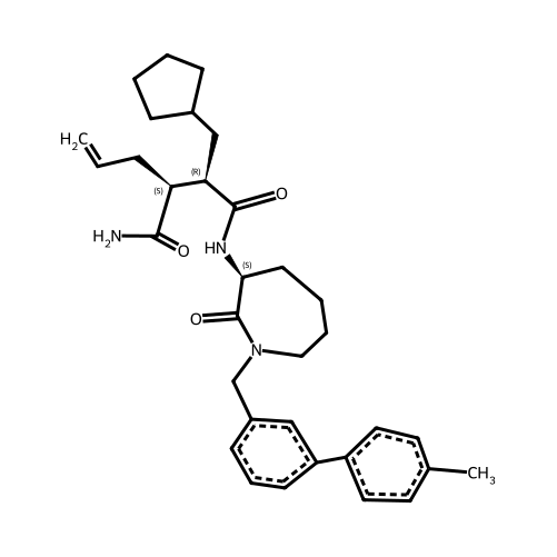 C=CC[C@H](C(N)=O)[C@@H](CC1CCCC1)C(=O)N[C@H]1CCCCN(Cc2cccc(-c3ccc(C)cc3)c2)C1=O